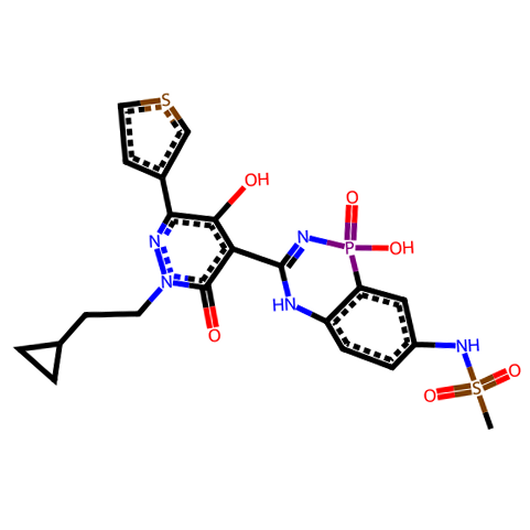 CS(=O)(=O)Nc1ccc2c(c1)P(=O)(O)N=C(c1c(O)c(-c3ccsc3)nn(CCC3CC3)c1=O)N2